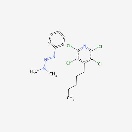 CCCCCc1c(Cl)c(Cl)nc(Cl)c1Cl.CN(C)N=Nc1ccccc1